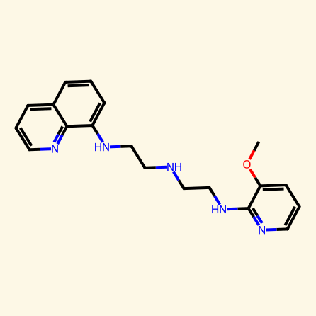 COc1cccnc1NCCNCCNc1cccc2cccnc12